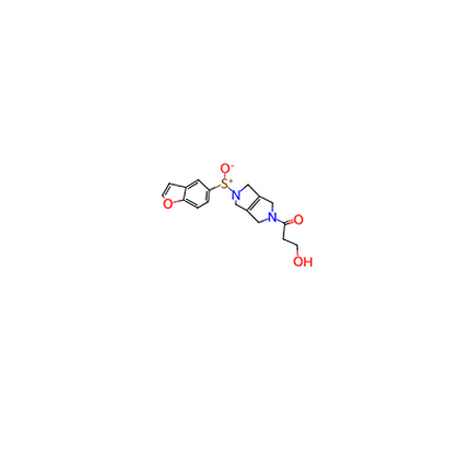 O=C(CCO)N1CC2=C(C1)CN([S+]([O-])c1ccc3occc3c1)C2